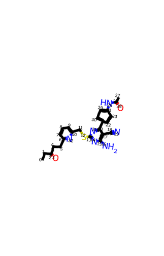 CCC(=O)CCc1cccc(CSc2nc(N)c(C#N)c(-c3ccc(NC(C)=O)cc3)n2)n1